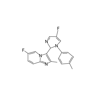 Cc1ccc(N2C=C(F)C=NC2c2c(C)nc3ccc(F)cn23)cc1